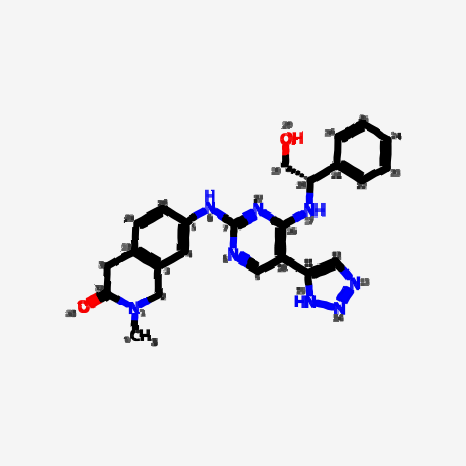 CN1Cc2cc(Nc3ncc(-c4cnn[nH]4)c(N[C@H](CO)c4ccccc4)n3)ccc2CC1=O